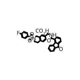 O=C(NC(C(=O)O)c1ccc2c(c1)CN(S(=O)(=O)c1ccc(F)cc1)CC2)c1cccc2c1-c1ccccc1C2=O